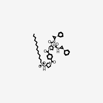 CCCCCCCCCCCCCCS(=O)(=O)N[C@@H]1CCN(C(=O)c2ccc(C(=O)N3C[C@@H](C(=O)NC4C[C@@H]4c4ccccc4)[C@H](C(=O)N[C@H]4C[C@@H]4c4ccccc4)C3)cc2)C1